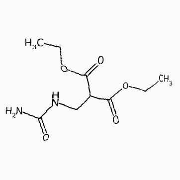 CCOC(=O)C(CNC(N)=O)C(=O)OCC